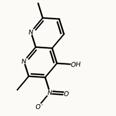 Cc1ccc2c(O)c([N+](=O)[O-])c(C)nc2n1